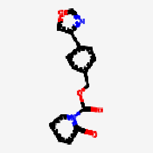 O=C(OCc1ccc(-c2cocn2)cc1)n1ccccc1=O